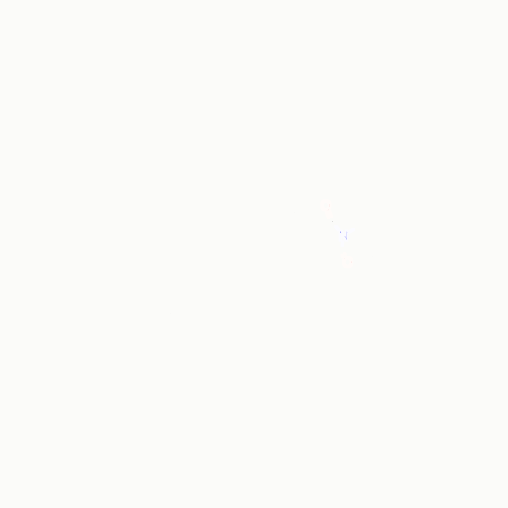 CC#Cc1ccc(-c2ccc3c4ccc5c6c(ccc(c7cccc2c73)c64)C(=O)N(c2c(C(C)C)cccc2C(C)C)C5=O)cc1